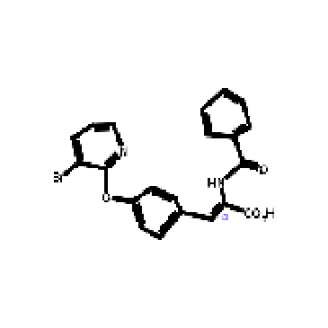 O=C(O)/C(=C/c1ccc(Oc2ncccc2Br)cc1)NC(=O)c1ccccc1